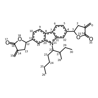 C=C1CC(c2ccc3c4ccc(C5CC(=C)C(=O)O5)cc4n(C(CCCC)C(C)CC)c3c2)OC1=O